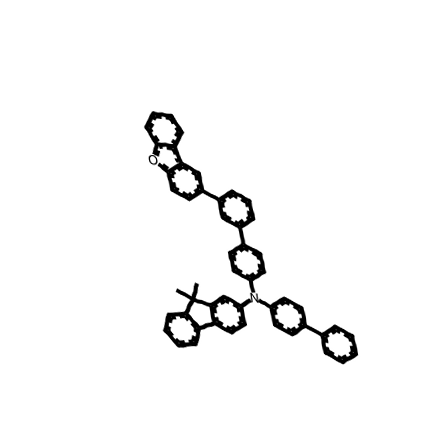 CC1(C)c2ccccc2-c2ccc(N(c3ccc(-c4ccccc4)cc3)c3ccc(-c4cccc(-c5ccc6oc7ccccc7c6c5)c4)cc3)cc21